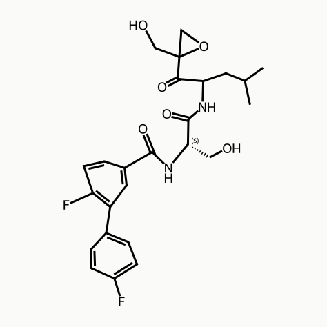 CC(C)CC(NC(=O)[C@H](CO)NC(=O)c1ccc(F)c(-c2ccc(F)cc2)c1)C(=O)C1(CO)CO1